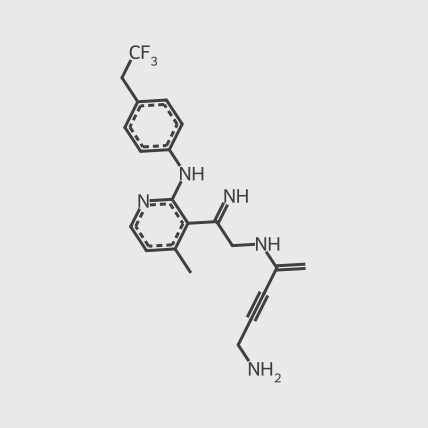 C=C(C#CCN)NCC(=N)c1c(C)ccnc1Nc1ccc(CC(F)(F)F)cc1